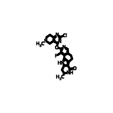 CC1Cc2[nH]c3c(c2C(=O)N1)CCc1cnc(Oc2nc(Cl)nc4c2CN(C)CC4)c(F)c1-3